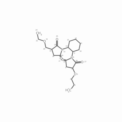 CCCOC1CC(=O)N(C2CCCCC2N2C(=O)CC(COCC)C2=O)C1=O